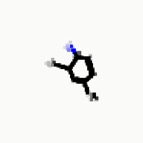 CC1=CC(C)[C@@H](N)C=C1